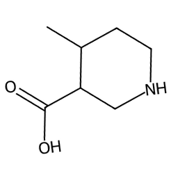 CC1CCNCC1C(=O)O